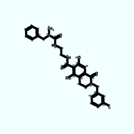 CN(Cc1ccccc1)C(=O)NCCNC(=O)c1c(Cl)cc2c(c1Cl)CCN(Cc1cccc(F)c1)C2=O